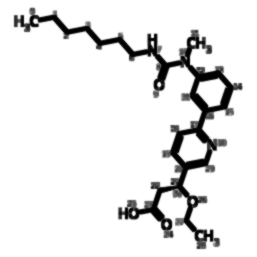 CCCCCCCNC(=O)N(C)c1cccc(-c2ccc([C@H](CC(=O)O)OCC)cn2)c1